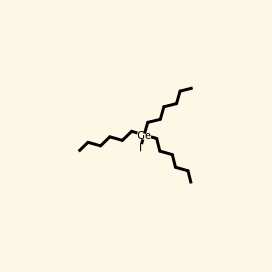 CCCCC[CH2][Ge]([I])([CH2]CCCCC)[CH2]CCCCC